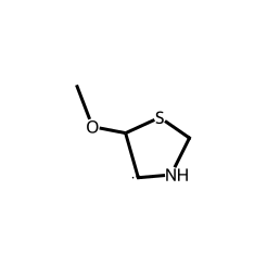 COC1[CH]NCS1